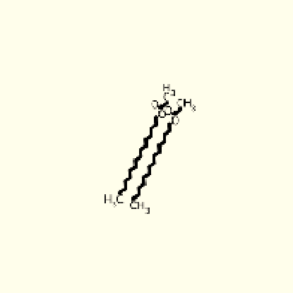 CCCCCCCCCCCCCCCCOC(=O)CC.CCCCCCCCCCCCCCCCOC(=O)CC